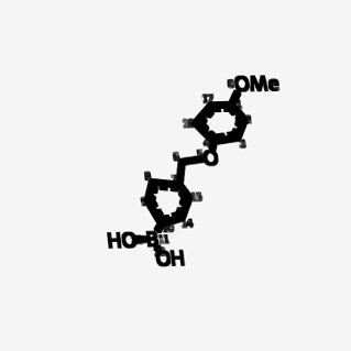 COc1ccc(OCc2ccc(B(O)O)cc2)cc1